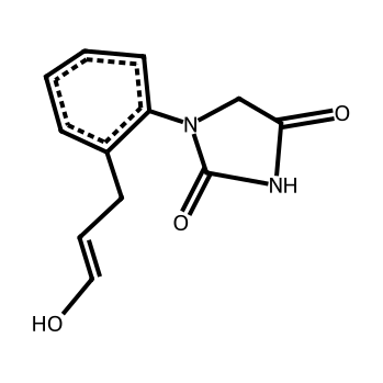 O=C1CN(c2ccccc2CC=CO)C(=O)N1